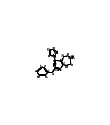 c1ccc(Cc2nc3c(c(-n4cccn4)n2)CCNCC3)cc1